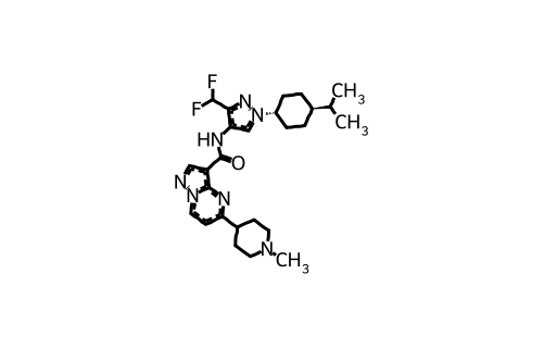 CC(C)[C@H]1CC[C@H](n2cc(NC(=O)c3cnn4ccc(C5CCN(C)CC5)nc34)c(C(F)F)n2)CC1